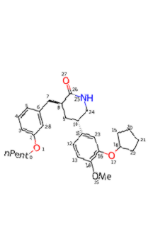 CCCCCOc1cccc(C[C@@H]2C[C@@H](c3ccc(OC)c(OC4CCCC4)c3)CNC2=O)c1